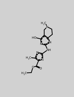 CCOC(=O)c1sc(Nc2nc(O)c3c(n2)CCN(C)C3)nc1C